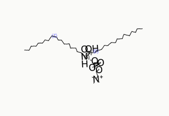 CCCCCCCC/C=C\CCCCCCCC(=O)N[C@@H](COP(=O)([O-])OCC[N+](C)(C)C)[C@H](O)/C=C/CCCCCCCCCCCCC